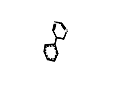 C1=NC=NCC1c1ccccc1